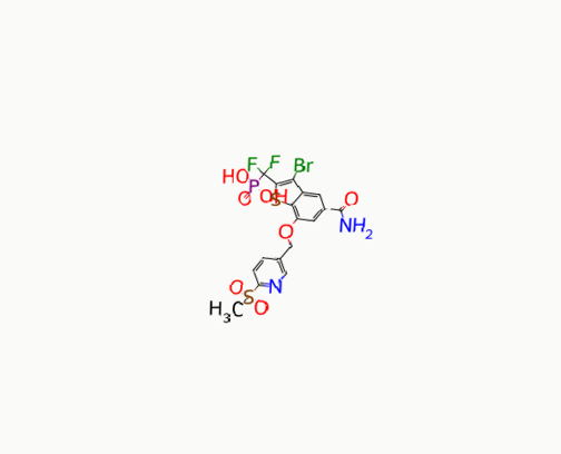 CS(=O)(=O)c1ccc(COc2cc(C(N)=O)cc3c(Br)c(C(F)(F)P(=O)(O)O)sc23)cn1